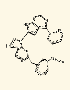 COc1cncc(-c2cc3c(-c4cc5c(-c6ccccn6)nccc5[nH]4)n[nH]c3cn2)c1